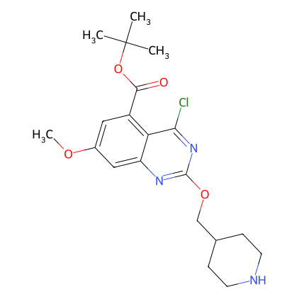 COc1cc(C(=O)OC(C)(C)C)c2c(Cl)nc(OCC3CCNCC3)nc2c1